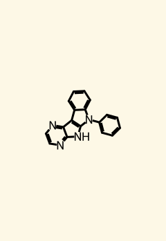 c1ccc(-n2c3ccccc3c3c4nccnc4[nH]c32)cc1